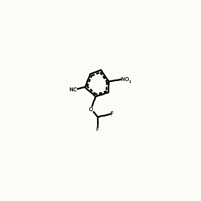 N#Cc1ccc([N+](=O)[O-])cc1OC(F)F